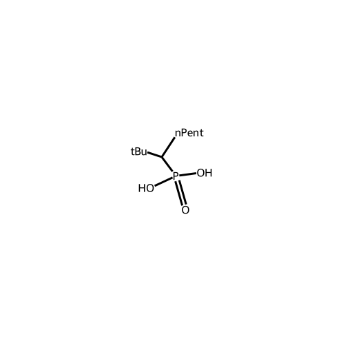 CCCCCC(C(C)(C)C)P(=O)(O)O